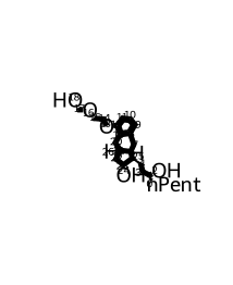 CCCCC[C@H](O)CC[C@@H]1[C@H]2Cc3cccc(OCCOCO)c3C[C@H]2C[C@H]1O